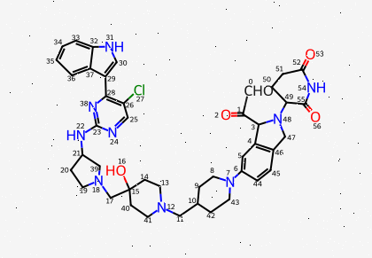 O=CC(=O)C1c2cc(N3CCC(CN4CCC(O)(CN5CCC(Nc6ncc(Cl)c(-c7c[nH]c8ccccc78)n6)C5)CC4)CC3)ccc2CN1C1CCC(=O)NC1=O